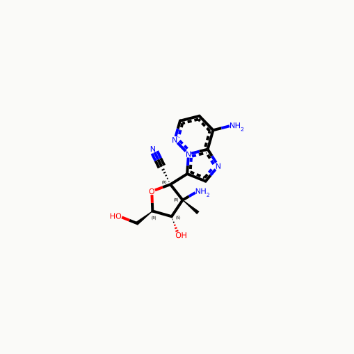 C[C@@]1(N)[C@H](O)[C@@H](CO)O[C@@]1(C#N)c1cnc2c(N)ccnn12